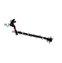 CCCN(CCC)C(=O)C1=Cc2sc(CCCCCN/C(=N/CC)NCCOCCOCCOCCOCCOCCOCCOCCOCCOCCOCCC(=O)Oc3c(F)c(F)cc(F)c3F)cc2N=C(N)C1